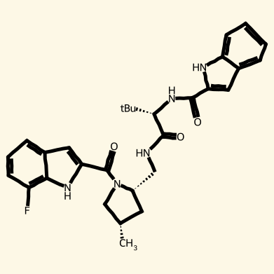 C[C@H]1C[C@@H](CNC(=O)[C@@H](NC(=O)c2cc3ccccc3[nH]2)C(C)(C)C)N(C(=O)c2cc3cccc(F)c3[nH]2)C1